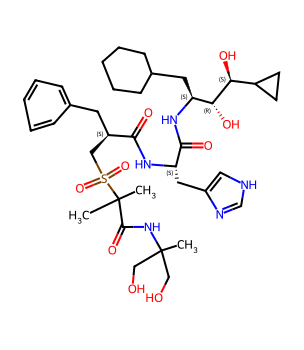 CC(CO)(CO)NC(=O)C(C)(C)S(=O)(=O)C[C@@H](Cc1ccccc1)C(=O)N[C@@H](Cc1c[nH]cn1)C(=O)N[C@@H](CC1CCCCC1)[C@@H](O)[C@@H](O)C1CC1